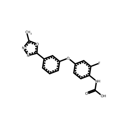 Cc1nnc(-c2cccc(Oc3ccc(NC(=O)O)c(F)c3)c2)o1